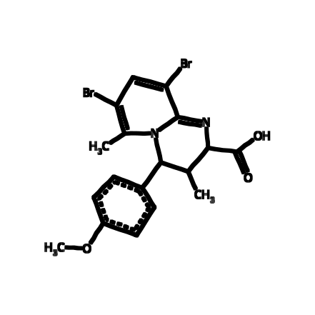 COc1ccc(C2C(C)C(C(=O)O)N=C3C(Br)=CC(Br)=C(C)N32)cc1